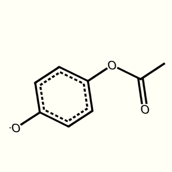 CC(=O)Oc1ccc([O])cc1